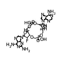 Nc1nc(N)c2ncn([C@@H]3O[C@@H]4COP(=O)(O)OC5C(O)[C@@H](COP(=O)(O)COC4C3F)O[C@H]5n3cnc4c(N)ncnc43)c2n1